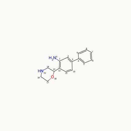 Nc1cc(-c2ccccc2)ccc1C1CNCCO1